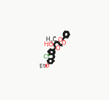 CCOc1ccc(Cc2cc(C3OC4COC(c5ccccc5)OC4C(C)C3O)ccc2Cl)cc1